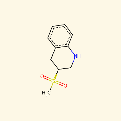 CS(=O)(=O)[C@@H]1CNc2ccccc2C1